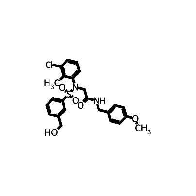 COc1ccc(CNC(=O)CN(c2cccc(Cl)c2C)S(=O)(=O)c2cccc(CO)c2)cc1